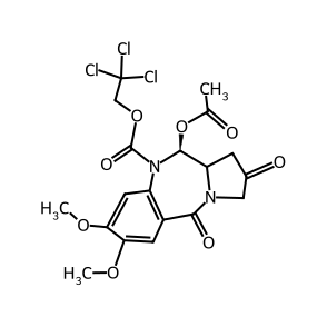 COc1cc2c(cc1OC)N(C(=O)OCC(Cl)(Cl)Cl)[C@@H](OC(C)=O)C1CC(=O)CN1C2=O